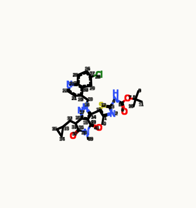 Cc1nc(NC(=O)OC(C)(C)C)sc1-c1c2c(nn1Cc1ccnc3ccc(Cl)cc13)C(CC1CC1)C(=O)N(C)C2=O